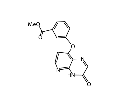 COC(=O)c1cccc(Oc2ccnc3[nH]c(=O)cnc23)c1